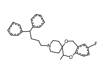 CC1Oc2ccc(F)cc2COC12CCN(CCCC(c1ccccc1)c1ccccc1)CC2